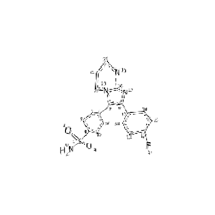 NS(=O)(=O)c1ccc(-c2c(-c3ccc(F)cc3)nc3ncccn23)cc1